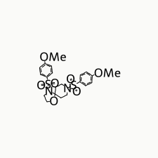 COc1ccc(S(=O)(=O)N2CCC3(CC2)OCCN3S(=O)(=O)c2ccc(OC)cc2)cc1